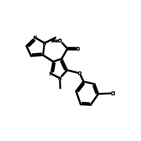 COC(=O)c1c(-c2ccnn2C)nn(C)c1Oc1cccc(Cl)c1